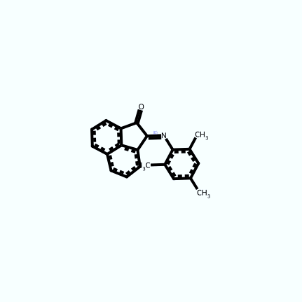 Cc1cc(C)c(/N=C2/C(=O)c3cccc4cccc2c34)c(C)c1